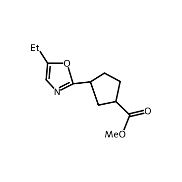 CCc1cnc(C2CCC(C(=O)OC)C2)o1